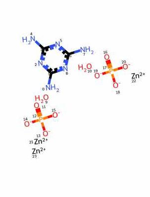 Nc1nc(N)nc(N)n1.O.O.O=P([O-])([O-])[O-].O=P([O-])([O-])[O-].[Zn+2].[Zn+2].[Zn+2]